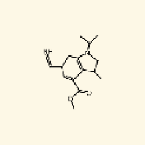 COC(=O)C1=CC(C=N)CC2=C1C(C)CN2C(C)C